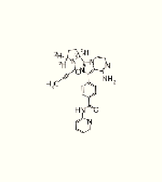 [2H]C1([2H])CC[C@@]([2H])(c2nc(-c3ccc(C(=O)Nc4ccccn4)cc3)c3c(N)nccn23)N1C(=O)C#CC